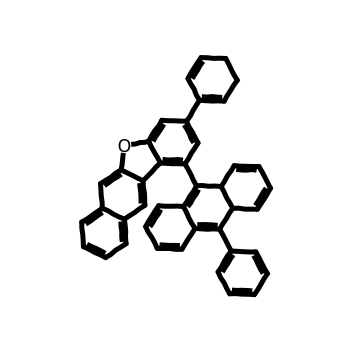 C1=CC2C(c3ccccc3)=c3ccccc3=C(c3cc(C4=CCCC=C4)cc4oc5cc6ccccc6cc5c34)C2C=C1